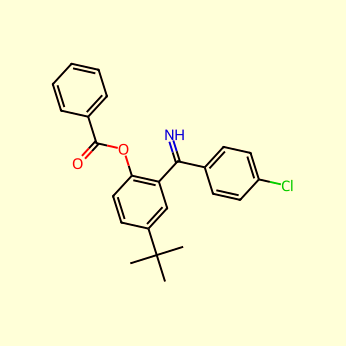 CC(C)(C)c1ccc(OC(=O)c2ccccc2)c(C(=N)c2ccc(Cl)cc2)c1